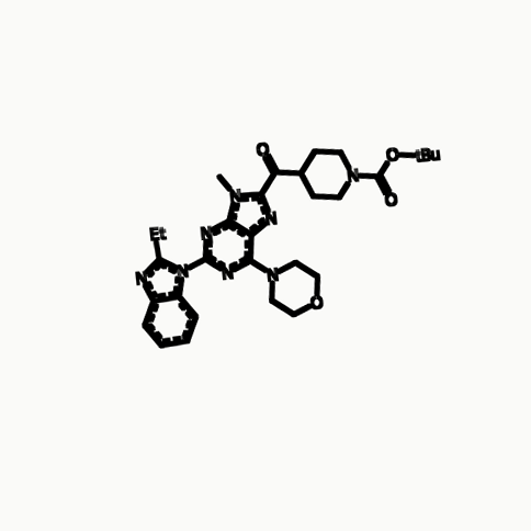 CCc1nc2ccccc2n1-c1nc(N2CCOCC2)c2nc(C(=O)C3CCN(C(=O)OC(C)(C)C)CC3)n(C)c2n1